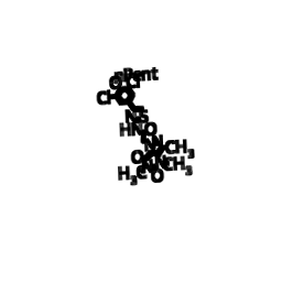 CCCCCOc1c(Cl)cc(-c2csc(NC(=O)Cn3nc(C)c4c3c(=O)n(C)c(=O)n4C)n2)cc1Cl